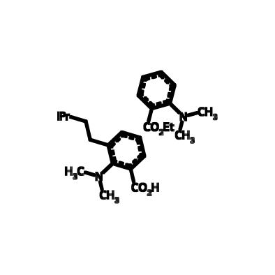 CC(C)CCc1cccc(C(=O)O)c1N(C)C.CCOC(=O)c1ccccc1N(C)C